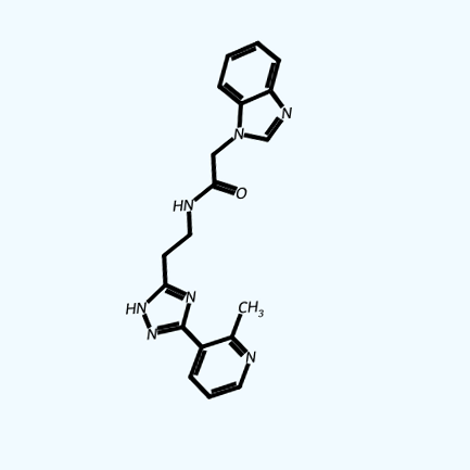 Cc1ncccc1-c1n[nH]c(CCNC(=O)Cn2cnc3ccccc32)n1